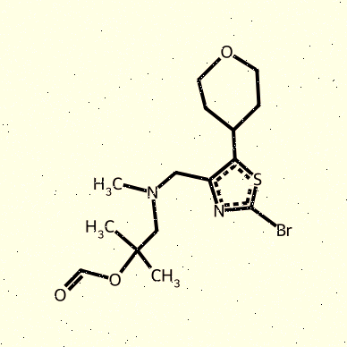 CN(Cc1nc(Br)sc1C1CCOCC1)CC(C)(C)OC=O